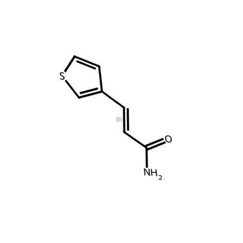 NC(=O)/C=C/c1ccsc1